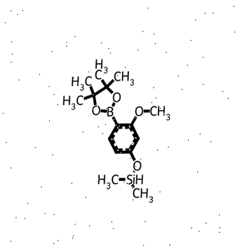 COc1cc(O[SiH](C)C)ccc1B1OC(C)(C)C(C)(C)O1